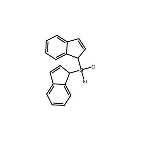 CC[Si](Cl)(C1C=Cc2ccccc21)C1C=Cc2ccccc21